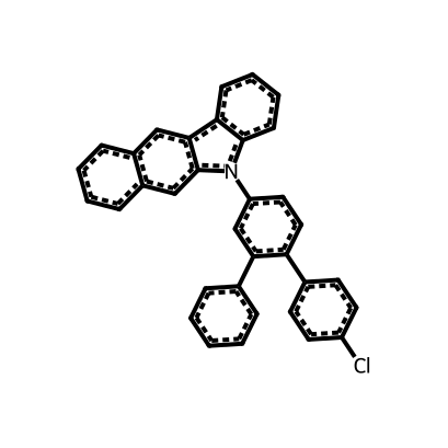 Clc1ccc(-c2ccc(-n3c4ccccc4c4cc5ccccc5cc43)cc2-c2ccccc2)cc1